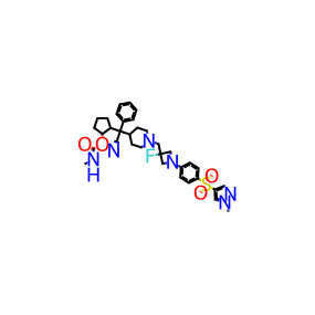 CNC(=O)OC1CCCC1C(C#N)(c1ccccc1)C1CCN(CC2(F)CN(c3ccc(S(=O)(=O)c4cnn(C)c4)cc3)C2)CC1